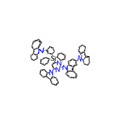 c1ccc([Si](c2ccccc2)(c2cccc(-n3c4ccccc4c4ccccc43)c2)c2cc(-n3c4ccccc4c4ccccc43)nc(-n3c4ccccc4c4cc(-n5c6ccccc6c6ccccc65)ccc43)n2)cc1